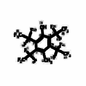 Cc1c(C(F)(F)C(F)(F)F)c(C(F)(F)C(F)(F)F)c(O)c(C(F)(F)C(F)(F)F)c1C(F)(F)C(F)(F)F